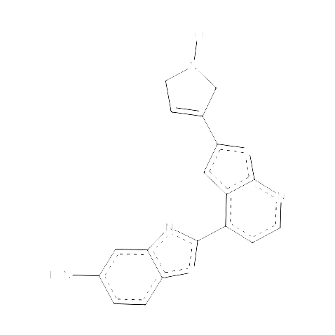 CN1CC=C(c2cc3c(-c4nc5cc(N)ccc5s4)ccnc3s2)C1